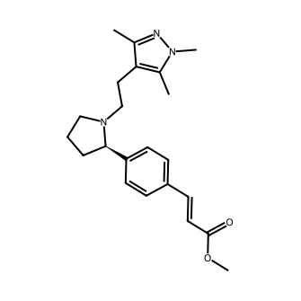 COC(=O)C=Cc1ccc([C@H]2CCCN2CCc2c(C)nn(C)c2C)cc1